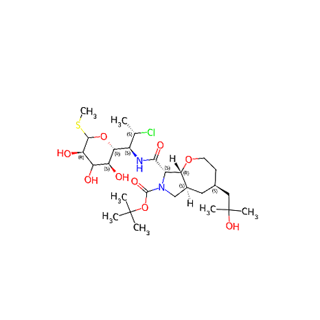 CSC1O[C@H]([C@H](NC(=O)[C@@H]2[C@@H]3OCC[C@@H](CC(C)(C)O)C[C@H]3CN2C(=O)OC(C)(C)C)[C@H](C)Cl)[C@@H](O)C(O)[C@H]1O